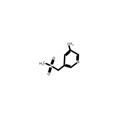 Cc1cncc(CS(C)(=O)=O)c1